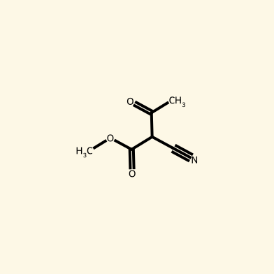 COC(=O)C(C#N)C(C)=O